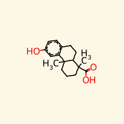 CC1(C(=O)O)CCCC2(C)c3cc(O)ccc3CCC12